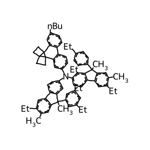 CCCCc1ccc2c(c1)C13CCC14CCC43c1cc(N(c3ccc4c(c3)C(C)(c3cc(CC)cc(CC)c3)c3cc(C)c(CC)cc3-4)c3ccc4c(c3)C(C)(c3ccc(CC)cc3CC)c3cc(C)c(CC)cc3-4)ccc1-2